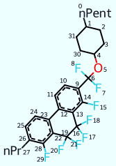 CCCCCC1CCC(OC(F)(F)c2ccc3c(c2F)C(F)(F)C(F)(F)c2c-3ccc(CCC)c2F)CC1